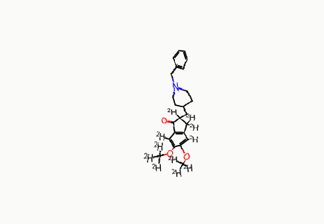 [2H]c1c(OC([2H])([2H])[2H])c(OC([2H])([2H])[2H])c([2H])c2c1C(=O)C([2H])(CC1CCN(Cc3ccccc3)CC1)C2([2H])[2H]